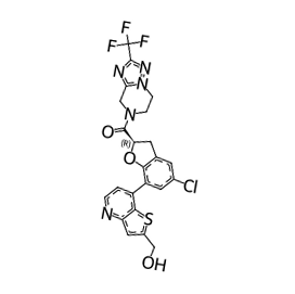 O=C([C@H]1Cc2cc(Cl)cc(-c3ccnc4cc(CO)sc34)c2O1)N1CCn2nc(C(F)(F)F)nc2C1